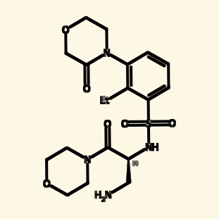 CCc1c(N2CCOCC2=O)cccc1S(=O)(=O)N[C@@H](CN)C(=O)N1CCOCC1